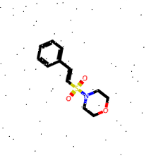 O=S(=O)(C=Cc1ccccc1)N1CCOCC1